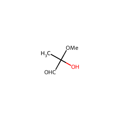 COC(C)(O)C=O